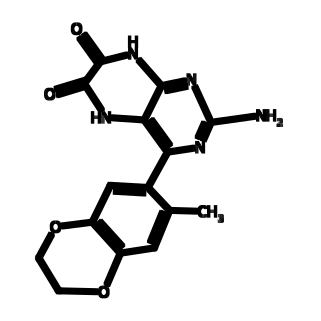 Cc1cc2c(cc1-c1nc(N)nc3[nH]c(=O)c(=O)[nH]c13)OCCO2